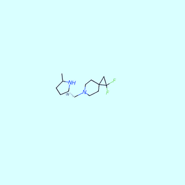 CC1CC[C@@H](CN2CCC3(CC2)CC3(F)F)N1